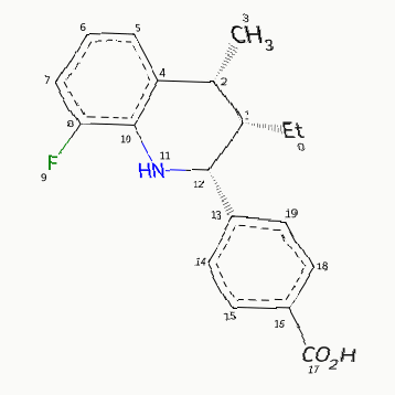 CC[C@H]1[C@@H](C)c2cccc(F)c2N[C@H]1c1ccc(C(=O)O)cc1